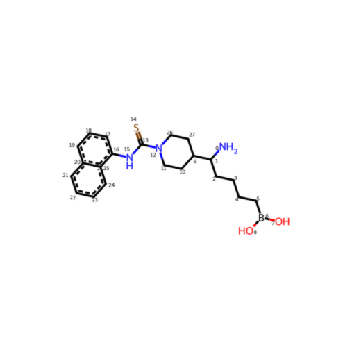 NC(CCCCB(O)O)C1CCN(C(=S)Nc2cccc3ccccc23)CC1